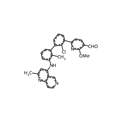 COc1nc(-c2cccc(-c3cccc(Nc4cc(C)nc5ccncc45)c3C)c2Cl)ccc1C=O